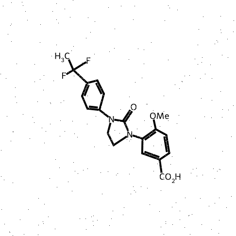 COc1ccc(C(=O)O)cc1N1CCN(c2ccc(C(C)(F)F)cc2)C1=O